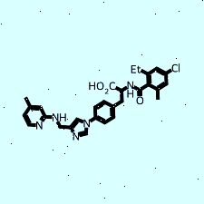 CCc1cc(Cl)cc(C)c1C(=O)NC(Cc1ccc(-n2cnc(CNc3cc(C)ccn3)c2)cc1)C(=O)O